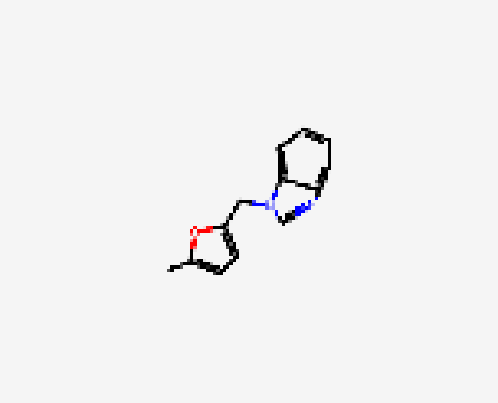 Cc1ccc(Cn2[c]nc3ccccc32)o1